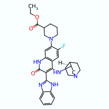 CCOC(=O)C1CCCN(c2cc3[nH]c(=O)c(-c4nc5ccccc5[nH]4)c(N[C@@H]4CN5CCC4CC5)c3cc2F)C1